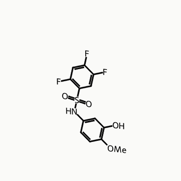 COc1ccc(NS(=O)(=O)c2cc(F)c(F)cc2F)cc1O